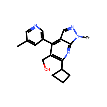 CCn1ncc2c(-c3cncc(C)c3)c(CO)c(C3CCC3)nc21